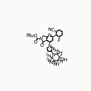 [2H]C1([2H])N(c2ccn(-c3cc(-c4c(F)cccc4C#N)nc4c3C(=O)N(C(=O)OC(C)(C)C)C4)n2)C([2H])([2H])[C@](C)(O)C([2H])([2H])C1([2H])[2H]